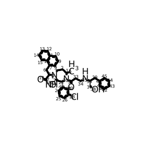 CC1CCN(C(Cc2cccc3ccccc23)C(N)=O)C(=O)[C@@H](c2cccc(Cl)c2)N1C(=O)CCN[C@H](CO)Cc1ccccc1